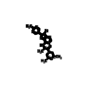 CCn1c(-c2cnc(C)nc2)nc2c(N[C@H](C)C(=O)N3C[C@@H](C)O[C@@H](C)C3)ncnc21